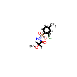 CC(C)OC(C)(C)C(=O)NS(=O)(=O)c1ccc(C(F)(F)F)cc1Cl